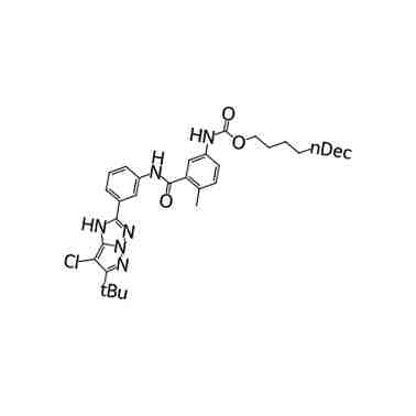 CCCCCCCCCCCCCCOC(=O)Nc1ccc(C)c(C(=O)Nc2cccc(-c3nn4nc(C(C)(C)C)c(Cl)c4[nH]3)c2)c1